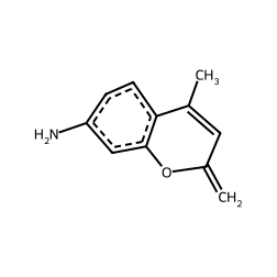 C=C1C=C(C)c2ccc(N)cc2O1